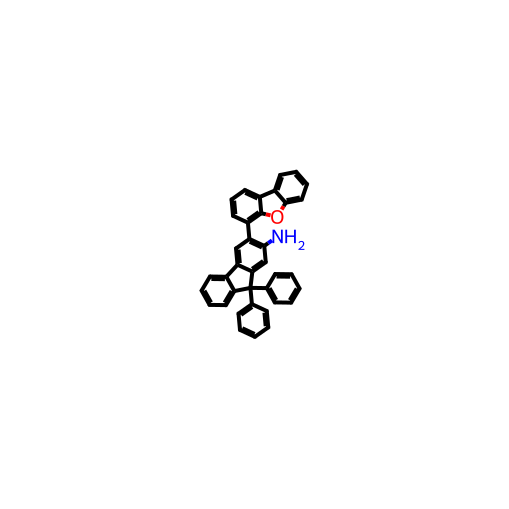 Nc1cc2c(cc1-c1cccc3c1oc1ccccc13)-c1ccccc1C2(c1ccccc1)c1ccccc1